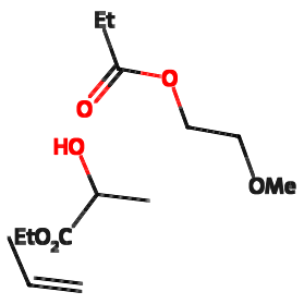 C=CC.CCC(=O)OCCOC.CCOC(=O)C(C)O